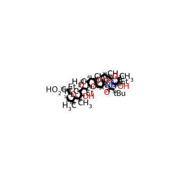 CCC(C(=O)[C@@H](C)[C@@H](O)[C@H](C)[C@@H]1O[C@@H]([C@@H](CC)C(=O)O)CC[C@@H]1C)[C@H]1O[C@]2(C=C[C@@H](NC(=O)CC(C)(C)C)[C@]3(CC[C@@](C)([C@H]4CC[C@](O)(CC)[C@H](C)O4)O3)O2)[C@H](C)C[C@@H]1C